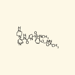 CNc1c(OCc2nnc(C)o2)cccc1N(C=O)C1=NC(C(=O)Nc2cnccc2N2CCNCC2)=CC1